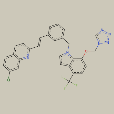 FC(F)(F)c1ccc(OCn2cnnn2)c2c1ccn2Cc1cccc(/C=C/c2ccc3ccc(Cl)cc3n2)c1